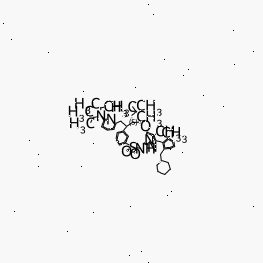 Cc1cccc(CC2CCCCC2)c1-c1nc2nc(c1C)OC[C@@H](CC(C)(C)C)C(Cc1cccc(N(C(C)C)C(C)C)n1)c1cccc(c1)S(=O)(=O)N2